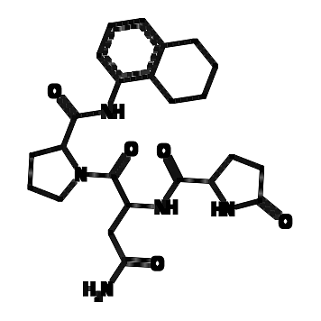 NC(=O)CC(NC(=O)C1CCC(=O)N1)C(=O)N1CCCC1C(=O)Nc1cccc2c1CCCC2